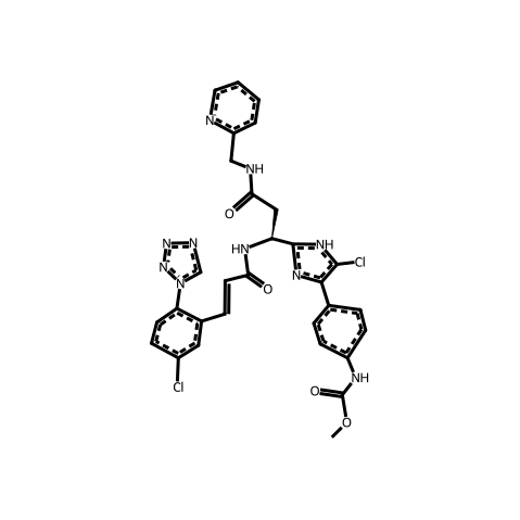 COC(=O)Nc1ccc(-c2nc([C@H](CC(=O)NCc3ccccn3)NC(=O)/C=C/c3cc(Cl)ccc3-n3cnnn3)[nH]c2Cl)cc1